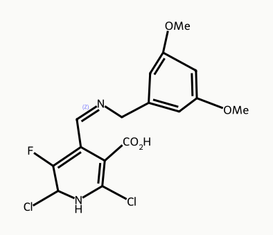 COc1cc(C/N=C\C2=C(F)C(Cl)NC(Cl)=C2C(=O)O)cc(OC)c1